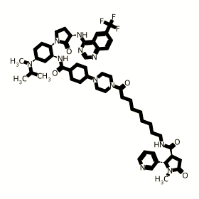 CC(C)N(C)[C@@H]1CC[C@H](N2CC[C@H](Nc3ncnc4ccc(C(F)(F)F)cc34)C2=O)[C@H](NC(=O)C2CCC(N3CCN(C(=O)CCCCCCCCNC(=O)[C@H]4CC(=O)N(C)[C@@H]4c4cccnc4)CC3)CC2)C1